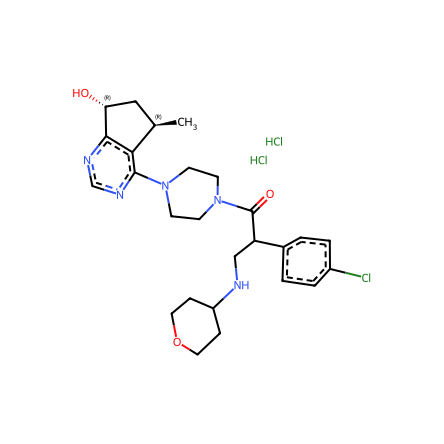 C[C@@H]1C[C@@H](O)c2ncnc(N3CCN(C(=O)C(CNC4CCOCC4)c4ccc(Cl)cc4)CC3)c21.Cl.Cl